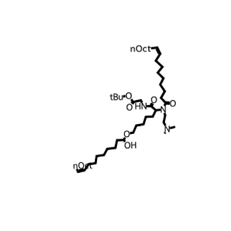 CCCCCCCC/C=C\CCCCCCCC(=O)N(CCN(C)C)C(CCCCCOC(O)CCCCCCC/C=C\CCCCCCCC)C(=O)NCC(=O)OC(C)(C)C